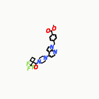 COC(=O)c1ccc(Cn2ccc3c(N4CCN(C(=O)C5(C(F)(F)F)CCC5)CC4)ccnc32)cc1